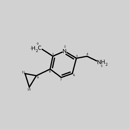 [CH2]c1nc(CN)ccc1C1CC1